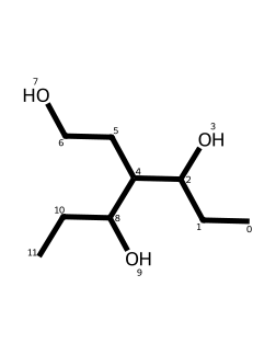 CCC(O)C(CCO)C(O)CC